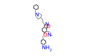 CN(C)Cc1c(OCc2ccc(N)cc2)ccc2c(CCC3CCN(Cc4ccccc4)CC3)noc12